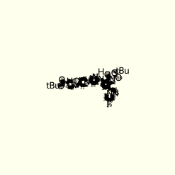 CC(C)(C)OC(=O)N1CCN(CC2(O)CCN(c3ccc(Nc4ccc(-c5cnc6cc(F)ccn56)c5c4C(=O)N(C(=O)OC(C)(C)C)C5)nc3)CC2)CC1